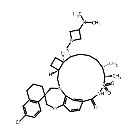 C[C@@H]1[C@@H](C)CCC[C@@H](CN2CC(N(C)C)C2)[C@@H]2CC[C@H]2CN2C[C@@]3(CCCc4cc(Cl)ccc43)COc3ccc(cc32)C(=O)NS1(=O)=O